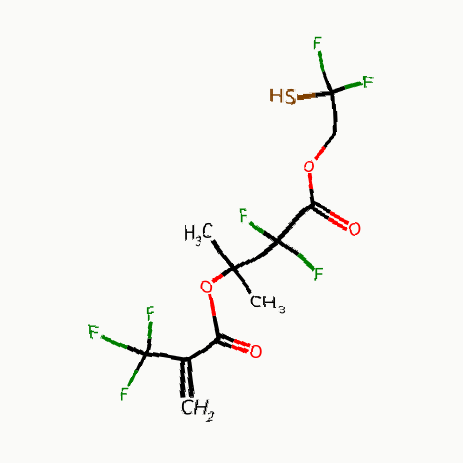 C=C(C(=O)OC(C)(C)C(F)(F)C(=O)OCC(F)(F)S)C(F)(F)F